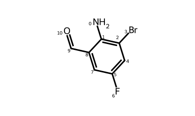 Nc1c(Br)cc(F)cc1C=O